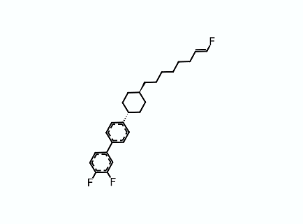 FC=CCCCCCC[C@H]1CC[C@H](c2ccc(-c3ccc(F)c(F)c3)cc2)CC1